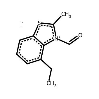 CCc1cccc2sc(C)[n+](C=O)c12.[I-]